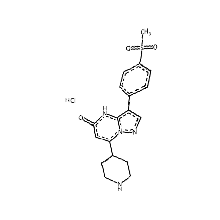 CS(=O)(=O)c1ccc(-c2cnn3c(C4CCNCC4)cc(=O)[nH]c23)cc1.Cl